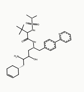 CN(C)S(=O)(=O)NC(C(=O)NN(Cc1ccc(-c2ccccn2)cc1)CC(O)C(N)C[C@@H]1CC=CCC1)C(C)(C)C